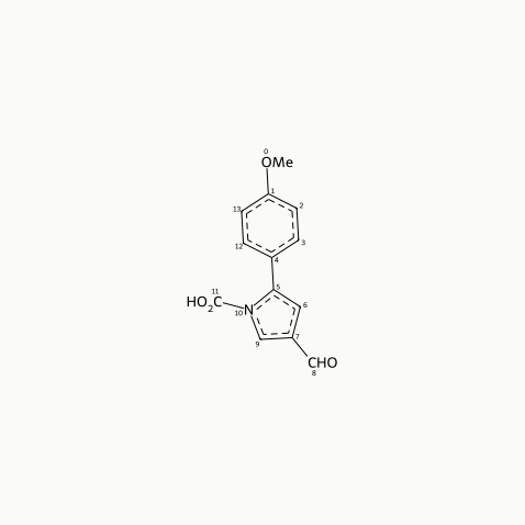 COc1ccc(-c2cc(C=O)cn2C(=O)O)cc1